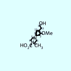 COc1cc(N2CCN(C(=O)O)C(C)C2)ccc1CCO